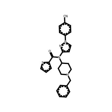 N#Cc1ccc(-n2ccc(N(C(=O)c3cccs3)C3CCN(Cc4ccccc4)CC3)n2)cc1